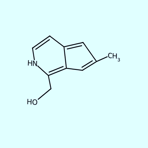 Cc1cc2cc[nH]c(CO)c-2c1